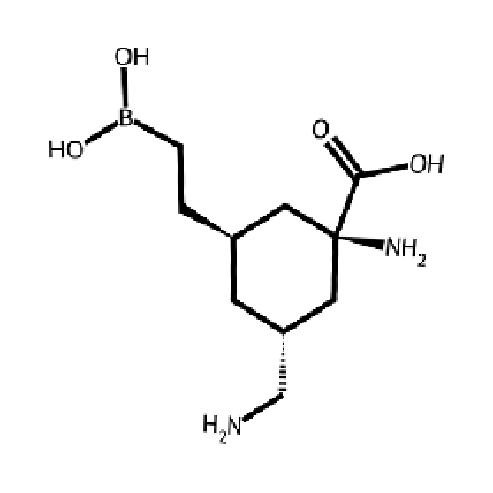 NC[C@@H]1C[C@@H](CCB(O)O)C[C@](N)(C(=O)O)C1